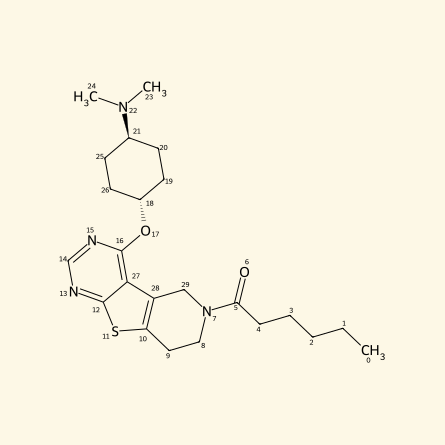 CCCCCC(=O)N1CCc2sc3ncnc(O[C@H]4CC[C@H](N(C)C)CC4)c3c2C1